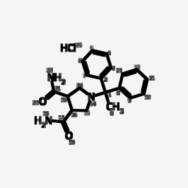 CC(c1ccccc1)(c1ccccc1)N1CC(C(N)=O)C(C(N)=O)C1.Cl